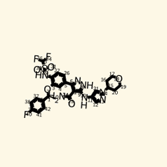 C[C@H](Oc1cc(-c2n[nH]c(Nc3cnn(C4CCOCC4)c3)c2C(N)=O)ccc1NS(=O)(=O)C(F)F)c1ccc(F)cc1